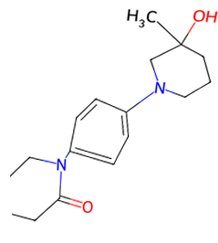 CC1(O)CCCN(c2ccc(N3CCCCC3=O)cc2)C1